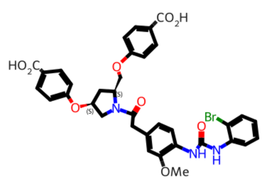 COc1cc(CC(=O)N2C[C@@H](Oc3ccc(C(=O)O)cc3)C[C@H]2COc2ccc(C(=O)O)cc2)ccc1NC(=O)Nc1ccccc1Br